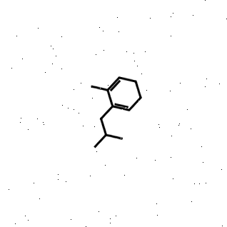 CC1=CCCC=C1CC(C)C